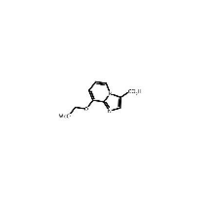 COCOc1cccn2c(C(=O)O)cnc12